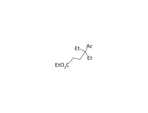 CCOC(=O)CCC(CC)(CC)C(C)=O